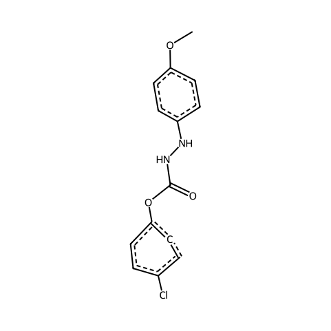 COc1ccc(NNC(=O)Oc2ccc(Cl)cc2)cc1